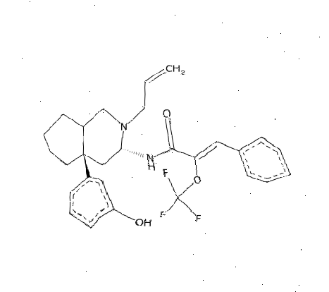 C=CCN1CC2CCCC[C@@]2(c2cccc(O)c2)C[C@H]1NC(=O)C(=Cc1ccccc1)OC(F)(F)F